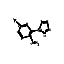 Nc1ccc(F)cc1-n1cccn1